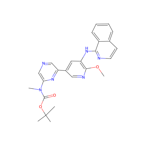 COc1ncc(-c2cncc(N(C)C(=O)OC(C)(C)C)n2)cc1Nc1nccc2ccccc12